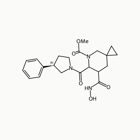 COC(=O)N1CC2(CC2)CC(C(=O)NO)C1C(=O)N1CC[C@H](c2ccccc2)C1